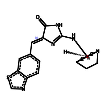 O=C1NC(N[C@@H]2CN3CCC2CC3)=N/C1=C\c1ccc2ncsc2c1